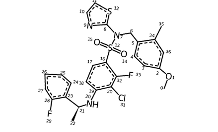 COc1ccc(CN(c2nccs2)S(=O)(=O)c2ccc(N[C@@H](C)c3ccccc3F)c(Cl)c2F)c(C)c1